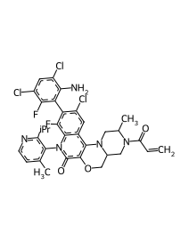 C=CC(=O)N1CC2COc3c(c4cc(Cl)c(-c5c(N)c(Cl)cc(Cl)c5F)c(F)c4n(-c4c(C)ccnc4C(C)C)c3=O)N2CC1C